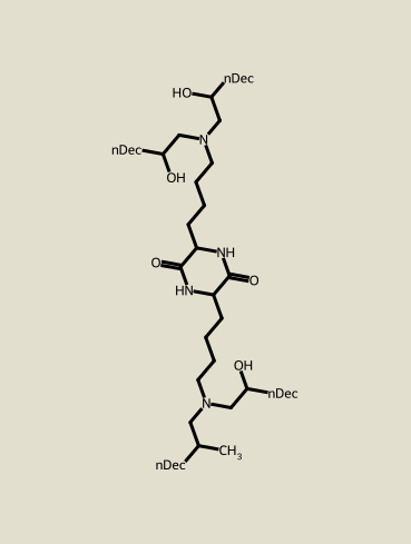 CCCCCCCCCCC(C)CN(CCCCC1NC(=O)C(CCCCN(CC(O)CCCCCCCCCC)CC(O)CCCCCCCCCC)NC1=O)CC(O)CCCCCCCCCC